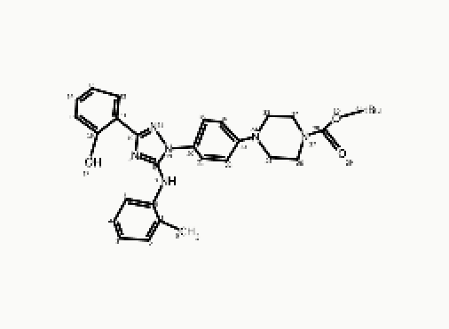 Cc1ccccc1Nc1nc(-c2ccccc2O)nn1-c1ccc(N2CCN(C(=O)OC(C)(C)C)CC2)cc1